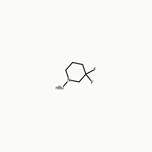 CCCCN1CCCC(F)(F)C1